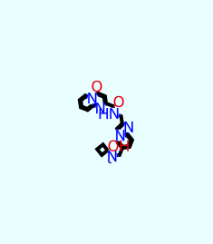 CN(Cc1ccc2nc(CNC(=O)c3cc(=O)n4ccccc4n3)cn2c1)C1(O)CCC1